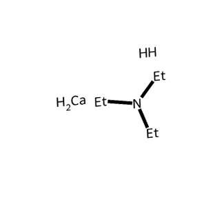 CCN(CC)CC.[CaH2].[HH]